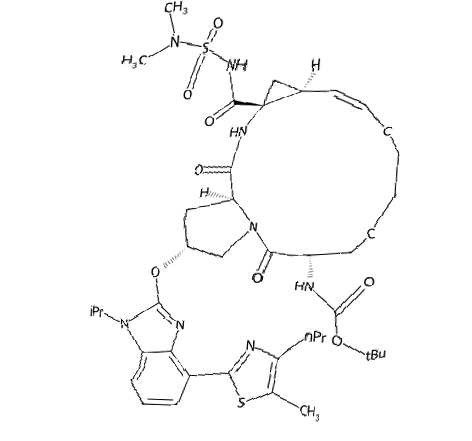 CCCc1nc(-c2cccc3c2nc(O[C@@H]2C[C@H]4C(=O)N[C@]5(C(=O)NS(=O)(=O)N(C)C)C[C@H]5/C=C\CCCCC[C@H](NC(=O)OC(C)(C)C)C(=O)N4C2)n3C(C)C)sc1C